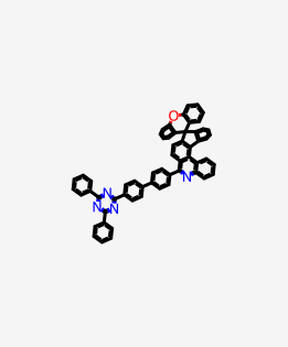 c1ccc(-c2nc(-c3ccccc3)nc(-c3ccc(-c4ccc(-c5nc6ccccc6c6c7c(ccc56)C5(c6ccccc6Oc6ccccc65)c5ccccc5-7)cc4)cc3)n2)cc1